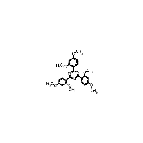 COc1ccc(-c2nc(-c3ccc(OC)cc3OC)nc(-c3ccc(OC)cc3OC)n2)c(OC)c1